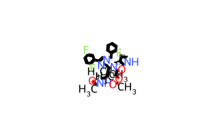 CC(=O)NCCC(C)(C)[C@H](c1nc(-c2cc(F)ccc2F)cn1Cc1ccccc1)N(C[C@@H]1CNC[C@@H]1F)C(=O)[C@H](C)OC(C)=O